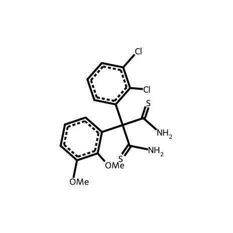 COc1cccc(C(C(N)=S)(C(N)=S)c2cccc(Cl)c2Cl)c1OC